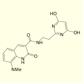 CNc1cccc2cc(C(=O)NCCc3nc(O)cc(O)n3)c(=O)[nH]c12